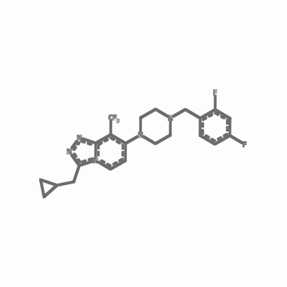 Fc1ccc(CN2CCN(c3ccn4c(CC5CC5)nnc4c3C(F)(F)F)CC2)c(F)c1